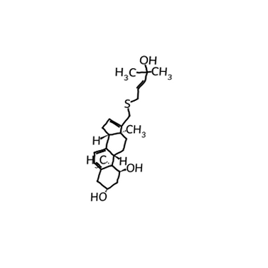 CC(C)(O)/C=C/CSCC1=CC[C@H]2C3=CC=C4C[C@@H](O)C[C@H](O)[C@]4(C)[C@H]3CC[C@]12C